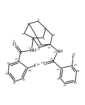 O=C(NC12CC3CC(C1)CC(NC(=O)c1ccccc1F)(C3)C2)c1ccccc1F